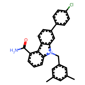 Cc1cc(C)cc(Cn2c3cc(-c4ccc(Cl)cc4)c[c]c3c3c(C(N)=O)cccc32)c1